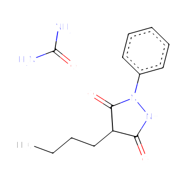 CCCCC1C(=O)NN(c2ccccc2)C1=O.NC(N)=O